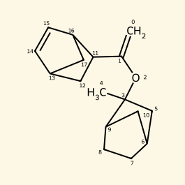 C=C(OC1(C)CC2CCC1C2)C1CC2C=CC1C2